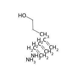 C=C.C=C.C=C.CCCO.N.N